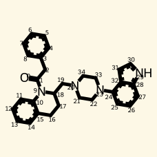 O=C(Cc1ccccc1)N1c2ccccc2CCC1CN1CCN(c2cccc3[nH]ccc23)CC1